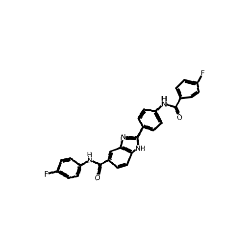 O=C(Nc1ccc(-c2nc3cc(C(=O)Nc4ccc(F)cc4)ccc3[nH]2)cc1)c1ccc(F)cc1